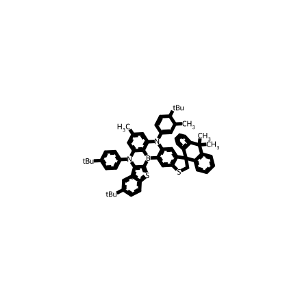 Cc1cc2c3c(c1)N(c1ccc(C(C)(C)C)cc1)c1c(sc4ccc(C(C)(C)C)cc14)B3c1cc3c(cc1N2C1=CC(C)C(C(C)(C)C)C=C1)C1(CS3)c2ccccc2C(C)(C)c2ccccc21